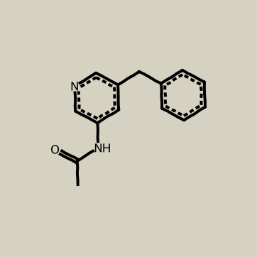 CC(=O)Nc1cncc(Cc2ccccc2)c1